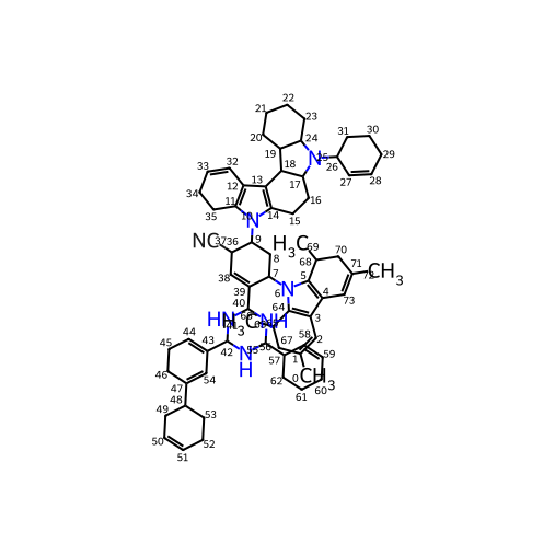 CC1=Cc2c3c(n(C4CC(n5c6c(c7c5CCC5C7C7CCCCC7N5C5C=CCCC5)C=CCC6)C(C#N)C=C4C4NC(C5=CCCC(C6CC=CCC6)=C5)NC(C5C=CCCC5)N4)c2C(C)C1)C(C)CC(C)=C3